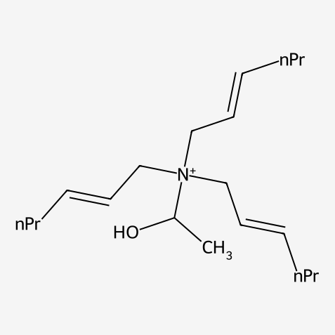 CCCC=CC[N+](CC=CCCC)(CC=CCCC)C(C)O